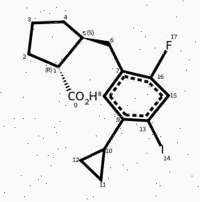 O=C(O)[C@@H]1CCC[C@H]1Cc1cc(C2CC2)c(I)cc1F